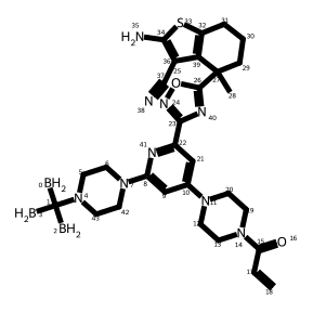 BC(B)(B)N1CCN(c2cc(N3CCN(C(=O)C=C)CC3)cc(-c3noc(C4(C)CCCc5sc(N)c(C#N)c54)n3)n2)CC1